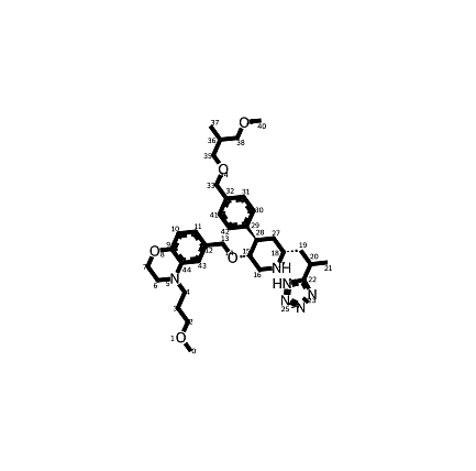 COCCCN1CCOc2ccc(CO[C@H]3CN[C@@H](CC(C)c4nnn[nH]4)C[C@@H]3c3ccc(COCC(C)COC)cc3)cc21